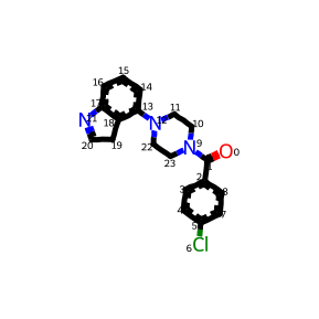 O=C(c1ccc(Cl)cc1)N1CCN(c2cccc3c2CC=N3)CC1